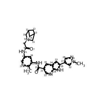 Cc1ncc(NC(=O)CN2CC3CC(C3)C2)cc1NC(=O)c1cnc2[nH]c(-c3cnn(C)c3)cc2c1